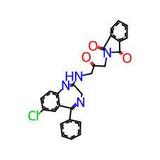 O=C(CNC1=Nc2ccc(Cl)cc2C(c2ccccc2)=NC1)CN1C(=O)c2ccccc2C1=O